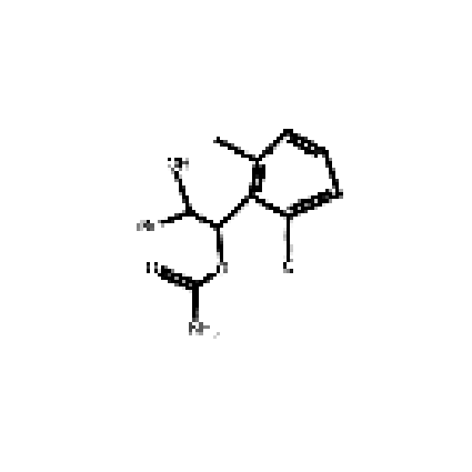 CCCCC(O)C(OC(N)=O)c1c(C)cccc1Cl